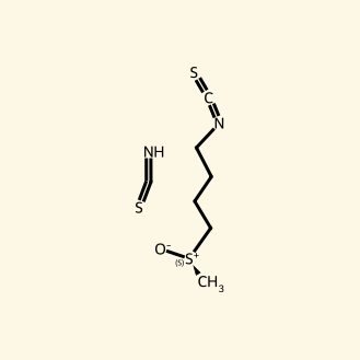 C[S@@+]([O-])CCCCN=C=S.N=C=S